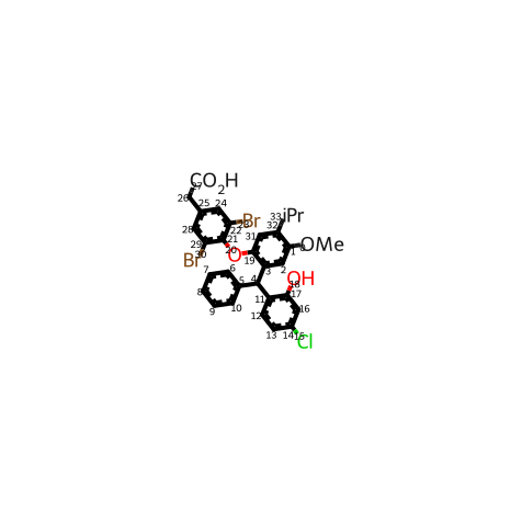 COc1cc(C(c2ccccc2)c2ccc(Cl)cc2O)c(Oc2c(Br)cc(CC(=O)O)cc2Br)cc1C(C)C